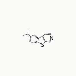 CC(C)c1ccc2sc3cnccc3c2c1